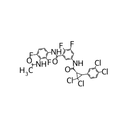 CC(=O)Nc1c(F)ccc(NC(=O)c2cc(NC(=O)[C@H]3C(c4ccc(Cl)c(Cl)c4)C3(Cl)Cl)cc(F)c2F)c1F